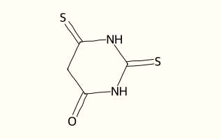 O=C1CC(=S)NC(=S)N1